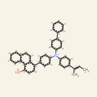 C/C=C(\C)c1ccc(N(c2ccc(-c3ccccc3)cc2)c2ccc(-c3ccc(O)c4c3ccc3ccccc34)cc2)cc1